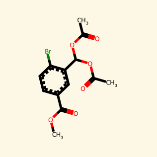 COC(=O)c1ccc(Br)c(C(OC(C)=O)OC(C)=O)c1